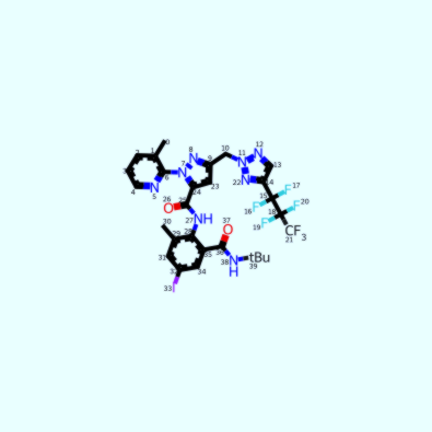 Cc1cccnc1-n1nc(Cn2ncc(C(F)(F)C(F)(F)C(F)(F)F)n2)cc1C(=O)Nc1c(C)cc(I)cc1C(=O)NC(C)(C)C